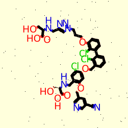 N#Cc1cncc(COc2cc(OCc3cccc(-c4cccc(OCCCn5cc(CNC(CO)C(=O)O)nn5)c4Cl)c3Cl)c(Cl)cc2CN[C@@H](CO)C(=O)O)c1